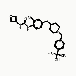 O=C(Nc1ccc(CC2CCN(Cc3ccc(C(O)(C(F)(F)F)C(F)(F)F)cc3)CC2)cc1Cl)NC1COC1